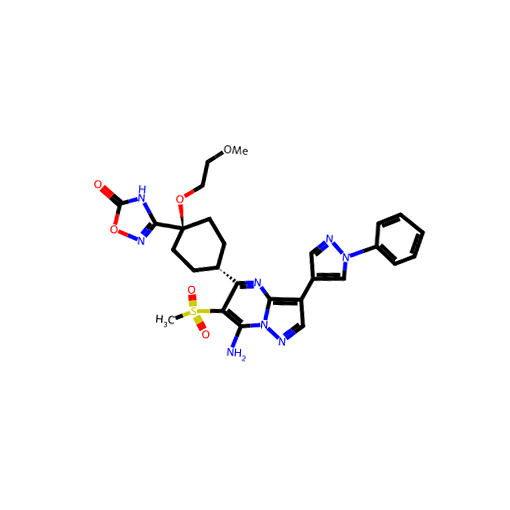 COCCO[C@]1(c2noc(=O)[nH]2)CC[C@@H](c2nc3c(-c4cnn(-c5ccccc5)c4)cnn3c(N)c2S(C)(=O)=O)CC1